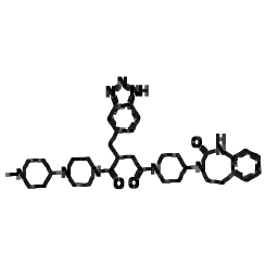 CN1CCC(N2CCN(C(=O)C(CC(=O)N3CCC(N4CCc5ccccc5NC4=O)CC3)Cc3ccc4[nH]nnc4c3)CC2)CC1